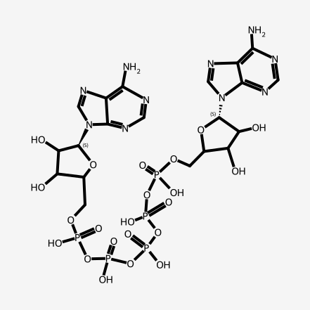 Nc1ncnc2c1ncn2[C@H]1OC(COP(=O)(O)OP(=O)(O)OP(=O)(O)OP(=O)(O)OP(=O)(O)OCC2O[C@H](n3cnc4c(N)ncnc43)C(O)C2O)C(O)C1O